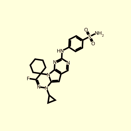 NS(=O)(=O)c1ccc(Nc2ncc3cc4n(c3n2)C2(CCCCC2)C(F)=NN4C2CC2)cc1